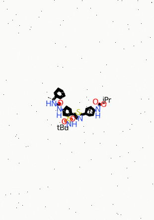 CC(C)OC(=O)NC12CCC(c3ncc(-c4ccc(NC(=O)N[C@H](C)c5ccccc5)cc4S(=O)(=O)NC(C)(C)C)s3)(CC1)CC2